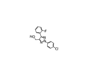 OCc1nn(-c2ccc(Cl)cc2)nc1-c1ccccc1F